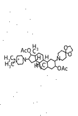 CC(=O)OC1CC2CC[C@@H]3[C@@H](CC[C@]4(C)C(OC(C)=O)C(N5CC[N+](C)(C)CC5)C[C@@H]34)[C@@]2(C)CC1N1CCC2(CC1)OCCO2